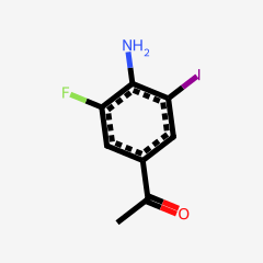 CC(=O)c1cc(F)c(N)c(I)c1